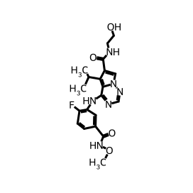 CONC(=O)c1ccc(F)c(Nc2ncnn3cc(C(=O)NCCO)c(C(C)C)c23)c1